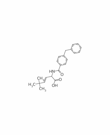 CC(C)(C)/C=C/C(NC(=O)c1ccc(Cc2ccccc2)cc1)C(=O)O